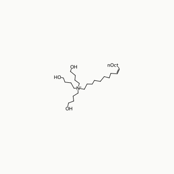 CCCCCCCC/C=C\CCCCCCCC[N+](CCCCO)(CCCCO)CCCCO